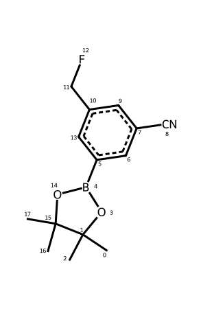 CC1(C)OB(c2cc(C#N)cc(CF)c2)OC1(C)C